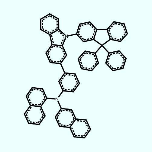 c1ccc(C2(c3ccccc3)c3ccccc3-c3ccc(-n4c5ccccc5c5ccc(-c6cccc(N(c7ccc8ccccc8c7)c7cccc8ccccc78)c6)cc54)cc32)cc1